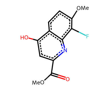 COC(=O)c1cc(O)c2ccc(OC)c(F)c2n1